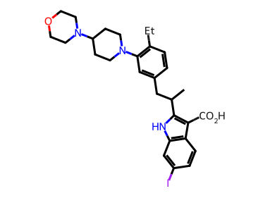 CCc1ccc(CC(C)c2[nH]c3cc(I)ccc3c2C(=O)O)cc1N1CCC(N2CCOCC2)CC1